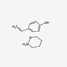 C1CC[SiH2]OC1.C=Cc1ccc(O)cc1